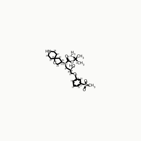 CC(C)(C)OC(=O)N(C[C@@H](O)COc1cccc(S(C)(=O)=O)c1)[C@H]1COC2(CCNCC2)C1